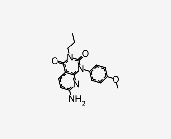 CCCn1c(=O)c2ccc(N)nc2n(-c2ccc(OC)cc2)c1=O